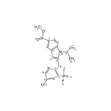 COC(=O)c1ccc2c(c1)cc(Cc1ccc(Cl)cc1C(F)(F)F)n2C(C)C